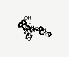 C#Cc1c(F)ccc2cc(O)cc(-c3nc(OC)c4c(N5CCCOCC5)nc(OC[C@]56CCC[C@H]5N(C[C@H]5CCCO5)CCC6)nc4c3F)c12